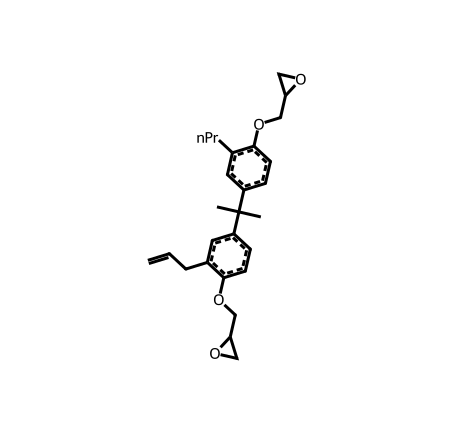 C=CCc1cc(C(C)(C)c2ccc(OCC3CO3)c(CCC)c2)ccc1OCC1CO1